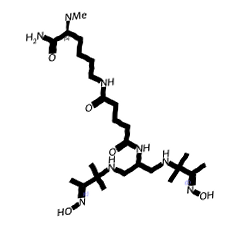 CN[C@@H](CCCCNC(=O)CCCC(=O)NC(CNC(C)(C)/C(C)=N/O)CNC(C)(C)/C(C)=N/O)C(N)=O